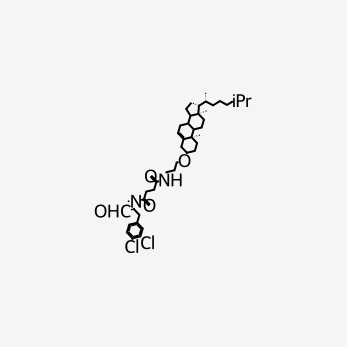 CC(C)CCC[C@@H](C)[C@H]1CCC2C3CC=C4C[C@@H](OCCCNC(=O)CCC(=O)[N][C@H](C=O)Cc5ccc(Cl)c(Cl)c5)CC[C@]4(C)C3CC[C@@]21C